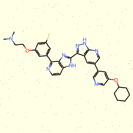 CN(C)CCOc1cc(F)cc(-c2nccc3[nH]c(-c4n[nH]c5ncc(-c6cncc(OC7CCCCC7)c6)cc45)nc23)c1